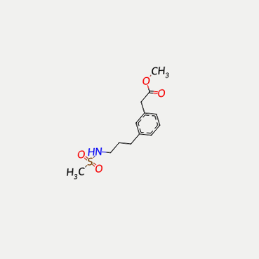 COC(=O)Cc1cccc(CCCNS(C)(=O)=O)c1